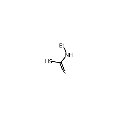 CCNC(=S)S